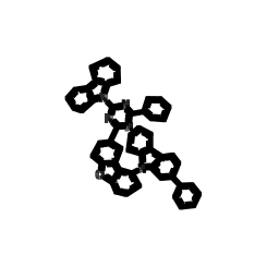 c1ccc(-c2ccc3c4ccccc4n(-c4cccc5oc6ccc(-c7nc(-c8ccccc8)nc(-n8c9ccccc9c9ccccc98)n7)cc6c45)c3c2)cc1